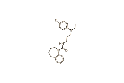 CCN(CCCNC(=O)N1CCCCc2ccccc21)c1ccc(F)cc1